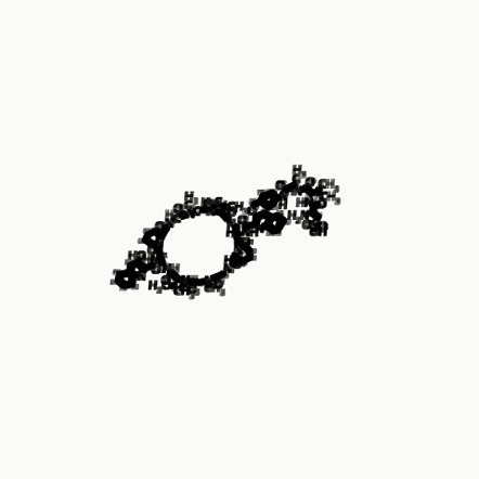 CC(C)[C@H](NC(=O)[C@@H](N)CS(=O)(=O)O)C(=O)N[C@@H](C)C(=O)Nc1ccc(COc2cc3ccccc3nc2C(=O)N[C@@H]2CNC(=O)[C@H](C(C)C)N(C)C(=O)CN(C)C(=O)CNC(=O)[C@@H]3CCCCN3C(=O)[C@H](NC(=O)c3nc4ccccc4cc3O)CNC(=O)[C@H](C(C)C)N(C)C(=O)CN(C)C(=O)CNC(=O)[C@@H]3CCCCN3C2=O)cc1